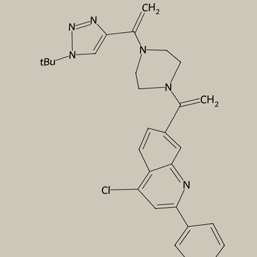 C=C(c1ccc2c(Cl)cc(-c3ccccc3)nc2c1)N1CCN(C(=C)c2cn(C(C)(C)C)nn2)CC1